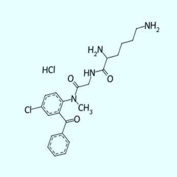 CN(C(=O)CNC(=O)C(N)CCCCN)c1ccc(Cl)cc1C(=O)c1ccccc1.Cl